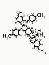 Cc1ccc(-n2c3cc(C)ccc3c3c2c2cc4c(cc2n3-c2ccc(C)cc2)-c2sc3cc(C)ccc3c2[Si]4(C)C)cc1